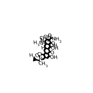 CCN(Cc1cc(O)c2c(c1Cl)C[C@H]1C[C@H]3[C@H](N(C)C)C(O)=C(C(N)=O)C(=O)[C@@]3(O)C(O)=C1C2=O)[C@H](C)C1CC1